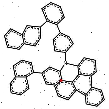 c1cc(-c2cccc3ccccc23)cc(N(c2ccc(-c3ccccc3-c3ccc4ccccc4c3)cc2)c2cccc3c4ccccc4c4ccccc4c23)c1